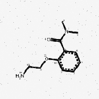 CN(C)C(=O)c1ccccc1OCCN